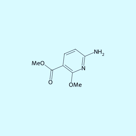 COC(=O)c1ccc(N)nc1OC